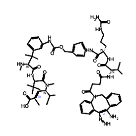 CN[C@H](C(=O)NC(C(=O)N(C)[C@H](/C=C(\C)C(=O)O)C(C)C)C(C)(C)C)C(C)(C)c1cccc(NC(=O)OCc2ccc(NC(=O)[C@H](CCCNC(N)=O)NC(=O)[C@@H](NC(=O)CCC(=O)N3Cc4ccccc4/C(N)=C(/N=N)c4ccccc43)C(C)C)cc2)c1